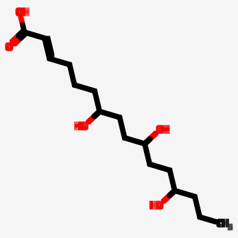 CCCC(O)CCC(O)CCC(O)CCCC=CC(=O)O